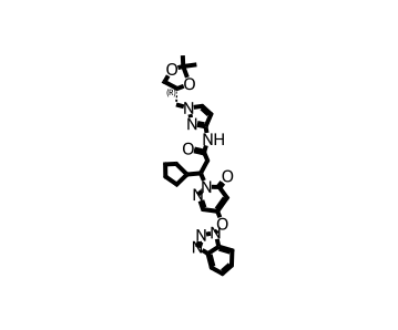 CC1(C)OC[C@@H](Cn2ccc(NC(=O)CC(C3CCCC3)n3ncc(On4nnc5ccccc54)cc3=O)n2)O1